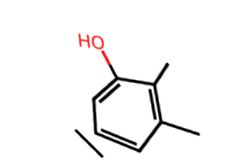 CC.Cc1cccc(O)c1C